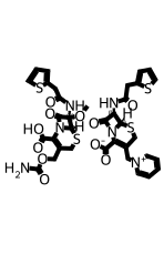 CO[C@@]1(NC(=O)Cc2cccs2)C(=O)N2C(C(=O)O)=C(COC(N)=O)CS[C@@H]21.O=C(Cc1cccs1)N[C@@H]1C(=O)N2C(C(=O)[O-])=C(C[n+]3ccccc3)CS[C@H]12